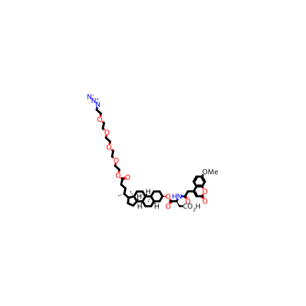 COc1ccc2c(CC(=O)N[C@@H](CC(=O)O)C(=O)O[C@@H]3CC[C@@]4(C)[C@H](CC[C@@H]5[C@@H]4CC[C@]4(C)C([C@H](C)CCC(=O)OCCOCCOCCOCCOCCN=[N+]=[N-])CC[C@@H]54)C3)cc(=O)oc2c1